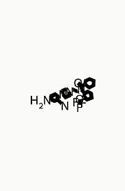 N#Cc1cc(N)ccc1N1CCN(CCN(C(=O)C2CCCCC2)c2ccccc2OC(F)(F)F)CC1